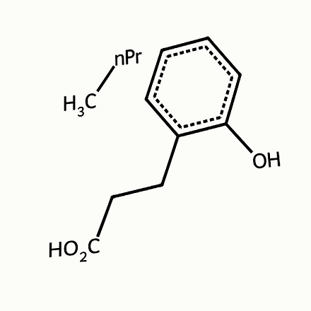 CCCC.O=C(O)CCc1ccccc1O